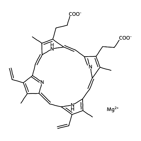 C=CC1=C(C)c2cc3[nH]c(cc4nc(cc5[nH]c(cc1n2)c(C)c5CCC(=O)[O-])C(CCC(=O)[O-])=C4C)c(C)c3C=C.[Mg+2]